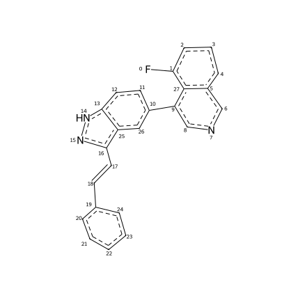 Fc1cccc2cncc(-c3ccc4[nH]nc(C=Cc5ccccc5)c4c3)c12